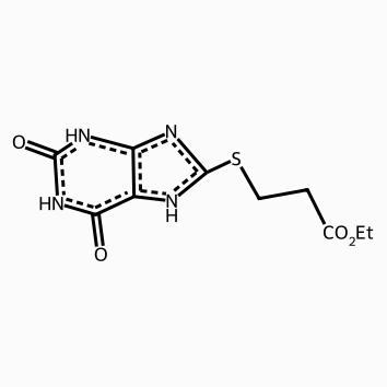 CCOC(=O)CCSc1nc2[nH]c(=O)[nH]c(=O)c2[nH]1